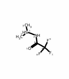 C[SiH](C)NC(=O)C(F)(F)F